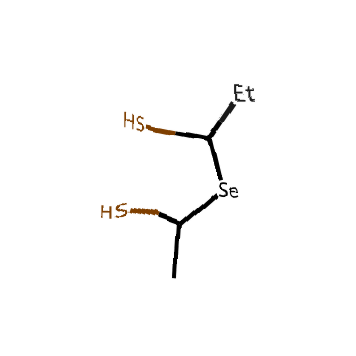 CCC(S)[Se]C(C)S